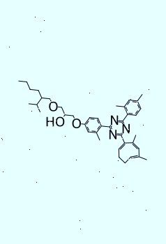 CCCCC(COCC(O)COc1ccc(-c2nc(C3=C/CC/C=C(C)/C=C\3C)nc(-c3ccc(C)cc3C)n2)c(C)c1)C(C)C